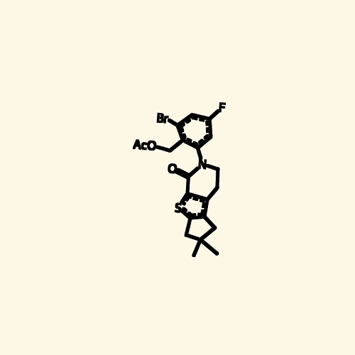 CC(=O)OCc1c(Br)cc(F)cc1N1CCc2c(sc3c2CC(C)(C)C3)C1=O